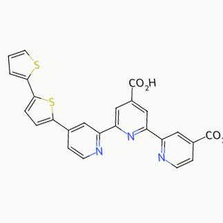 O=C(O)c1ccnc(-c2cc(C(=O)O)cc(-c3cc(-c4ccc(-c5cccs5)s4)ccn3)n2)c1